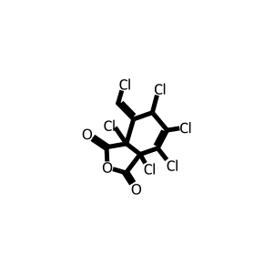 O=C1OC(=O)C2(Cl)C(Cl)=C(Cl)C(Cl)C(=CCl)C12Cl